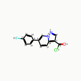 O=C(Cl)c1cnn2cc(-c3ccc(F)cc3)ccc12